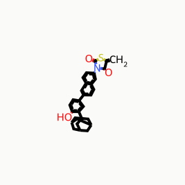 C=C1SC(=O)N(c2ccc3cc(-c4ccc(O)c(C56CC7CC(CC(C7)C5)C6)c4)ccc3c2)C1=O